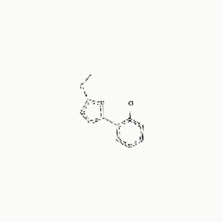 COc1ccc(-c2ccccc2Cl)o1